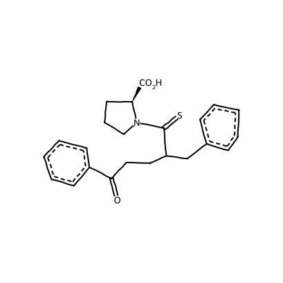 O=C(CCC(Cc1ccccc1)C(=S)N1CCC[C@H]1C(=O)O)c1ccccc1